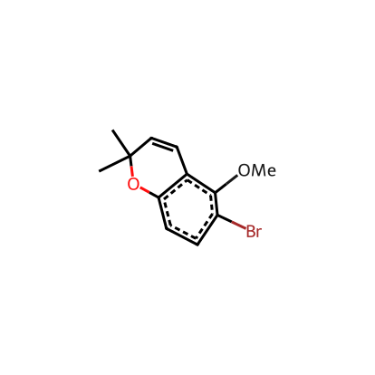 COc1c(Br)ccc2c1C=CC(C)(C)O2